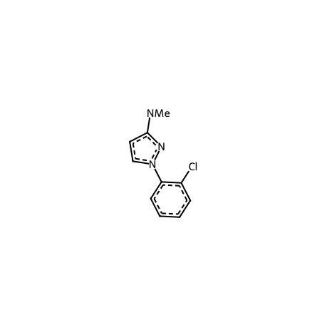 CNc1ccn(-c2ccccc2Cl)n1